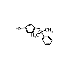 C[Si](C)(Cc1ccc(S)cc1)c1ccccc1